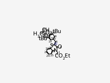 CCOC(=O)CN1C(=O)/C(=C/c2cc(C(C)(C)C)c(O[Si](C)(C)C)c(C(C)(C)C)c2)Sc2ccccc21